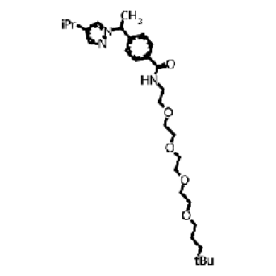 CC(C)c1cnn(C(C)c2ccc(C(=O)NCCOCCOCCOCCOCCCC(C)(C)C)cc2)c1